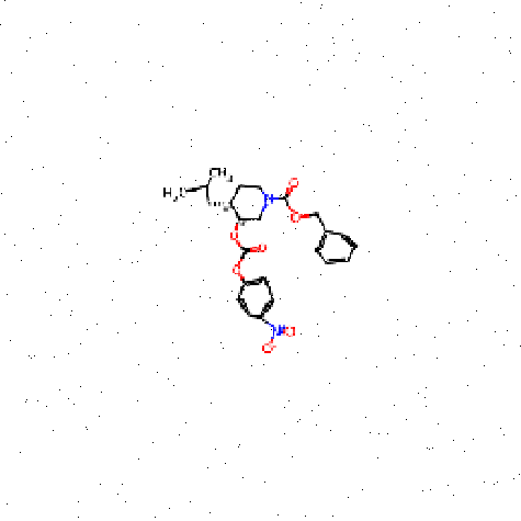 CC(C)C[C@@H]1CCN(C(=O)OCc2ccccc2)C[C@H]1OC(=O)Oc1ccc([N+](=O)[O-])cc1